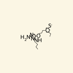 CCCCNc1nc(N)ncc1OCCCc1cc(CC)cc(SC)c1